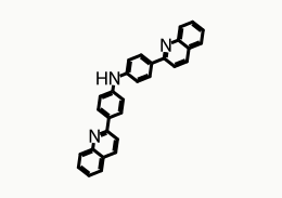 c1ccc2nc(-c3ccc(Nc4ccc(-c5ccc6ccccc6n5)cc4)cc3)ccc2c1